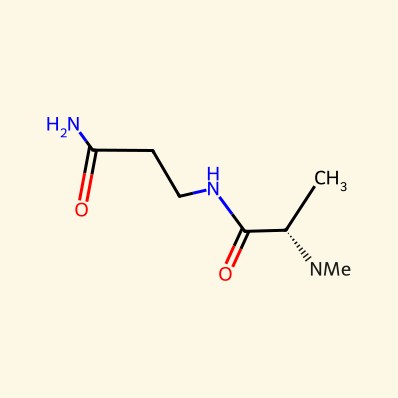 CN[C@@H](C)C(=O)NCCC(N)=O